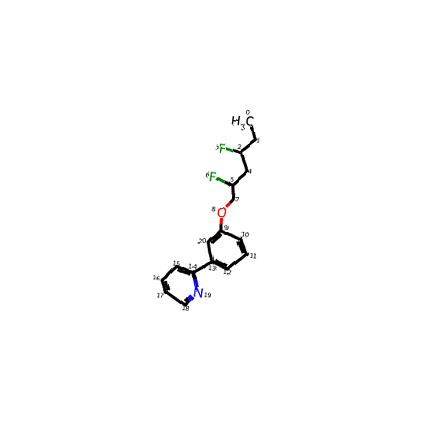 CCC(F)CC(F)COc1cccc(-c2ccccn2)c1